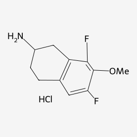 COc1c(F)cc2c(c1F)CC(N)CC2.Cl